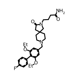 CCOc1cc(CN2CCC3(CC2)CC(=O)N(CCCC(N)=O)C3)cc(OCC)c1-c1ccc(F)cc1